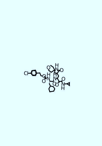 O=C(N[C@@H](CC1CCCCC1)C(=O)NC(CC1CC2(CCOCC2)NC1=O)C(=O)C(=O)NC1CC1)OCCc1ccc(Cl)cc1